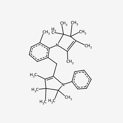 CC1=C(C)C(C)(C)C(C)(C)N1c1c(C)cccc1CC1=C(C)C(C)(C)C(C)(C)N1c1ccccc1